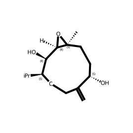 C=C1CC[C@@H](C(C)C)[C@@H](O)[C@H]2O[C@@]2(C)CC[C@@H]1O